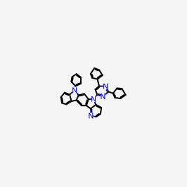 c1ccc(-c2cc(-n3c4cc5c(cc4c4ncccc43)c3ccccc3n5-c3ccccc3)nc(-c3ccccc3)n2)cc1